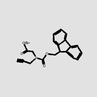 C#CCN(CC(=O)OCC(C)C)C(=O)OCC1c2ccccc2-c2ccccc21